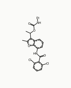 CCNC(=O)OC(C)c1c(C)oc2c(NC(=O)c3c(Cl)cccc3Cl)cccc12